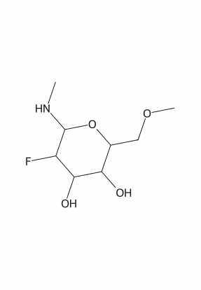 CNC1OC(COC)C(O)C(O)C1F